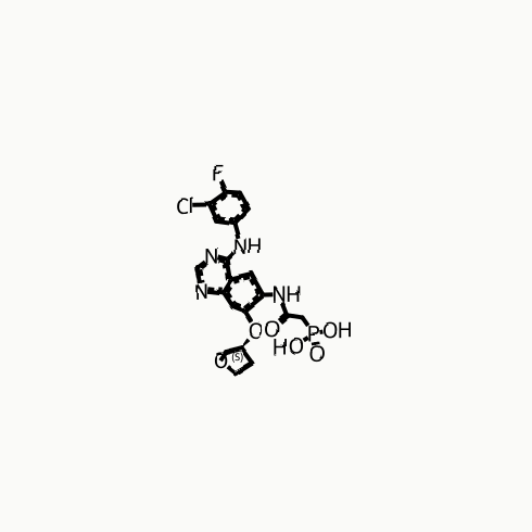 O=C(CP(=O)(O)O)Nc1cc2c(Nc3ccc(F)c(Cl)c3)ncnc2cc1O[C@H]1CCOC1